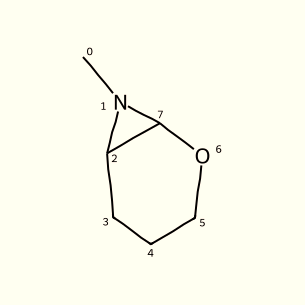 CN1C2CCCOC21